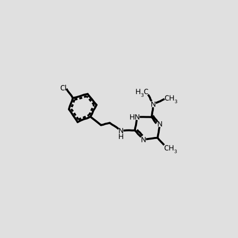 CC1N=C(NCCc2ccc(Cl)cc2)NC(N(C)C)=N1